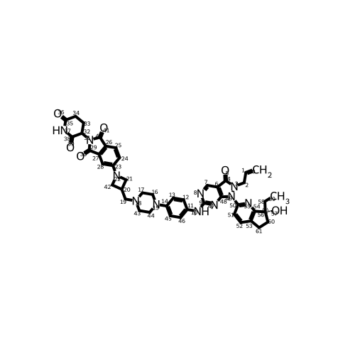 C=CCn1c(=O)c2cnc(Nc3ccc(N4CCN(CC5CN(c6ccc7c(c6)C(=O)N(C6CCC(=O)NC6=O)C7=O)C5)CC4)cc3)nc2n1-c1ccc2c(n1)[C@@](O)(CC)CC2